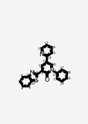 O=c1c(-c2nc3ccccc3s2)cc(-c2ccccn2)cn1-c1ccccc1